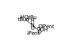 CCCC(C)Oc1cc(C=CC(=O)NCCCc2cc(C(C)(C)C)c(O)c(C(C)(C)C)c2)cc(OC(C)CCC)c1O